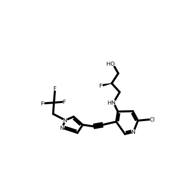 OC[C@H](F)CNc1cc(Cl)ncc1C#Cc1cnn(CC(F)(F)F)c1